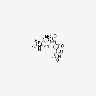 CCC(Nc1cc(F)c(C(=O)NC(Cc2ccc(-c3c(C)n(C)c(=O)n(C)c3=O)c3c2COC3)C(=O)O)c(F)c1)C(F)(F)F